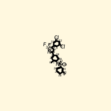 Cc1cc(C2=NOC(c3cc(Cl)cc(Cl)c3)(C(F)(F)F)C2)ccc1N=S(C)(=O)c1cccc(F)c1